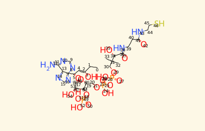 CCC(O)=CC(=O)C12N=CN=C(N)C1=NCN2[C@@H]1O[C@H](COP(=O)(O)OP(=O)(O)OCC(C)(C)C(O)C(=O)NCCC(=O)NCCS)[C@@H](OP(=O)(O)O)[C@H]1O